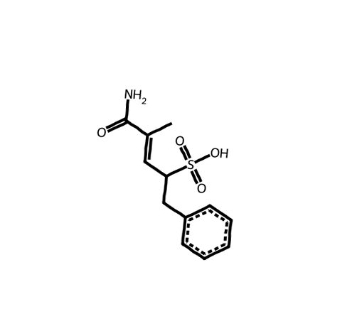 CC(=CC(Cc1ccccc1)S(=O)(=O)O)C(N)=O